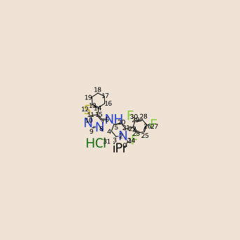 CC(C)CN1CCC(Nc2ncnc3sc4c(c23)CCCC4)CC1c1c(F)cc(F)cc1F.Cl